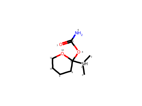 C[SiH](C)C1(OC(N)=O)CCCCO1